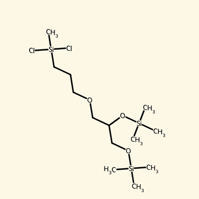 C[Si](Cl)(Cl)CCCOCC(CO[Si](C)(C)C)O[Si](C)(C)C